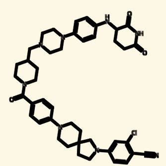 N#Cc1ccc(N2CCC3(CCN(c4ccc(C(=O)N5CCC(CN6CCN(c7ccc(NC8CCC(=O)NC8=O)cc7)CC6)CC5)cc4)CC3)C2)cc1Cl